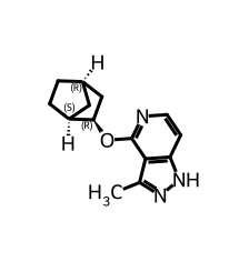 Cc1n[nH]c2ccnc(O[C@@H]3C[C@@H]4CC[C@H]3C4)c12